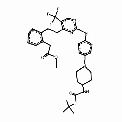 COC(=O)Cc1ccccc1CCc1nc(Nc2ccc(N3CCC(NC(=O)OC(C)(C)C)CC3)cc2)ncc1C(F)(F)F